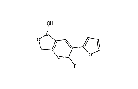 OB1OCc2cc(F)c(-c3ccco3)cc21